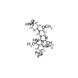 COc1cc2nc(C)nc(NC(C)c3cc(N)cc(C(F)(F)F)c3)c2cc1C1CCS(=N)(=O)CC1